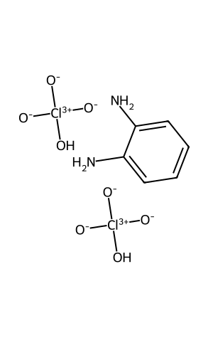 Nc1ccccc1N.[O-][Cl+3]([O-])([O-])O.[O-][Cl+3]([O-])([O-])O